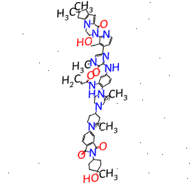 C=CC(=O)Nc1cc(Nc2nc(-c3ccnc(N4CCn5c(cc6c5CC(C)(C)C6)C4=O)c3CO)cn(C)c2=O)ccc1N1CCN(C2CCN(c3ccc4c(c3)C(=O)N(C3CCC(C)(O)CC3)C4=O)[C@H](C)C2)C[C@@H]1C